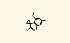 COc1cc(C)cc(C)c1C1(C(=O)O)CC1